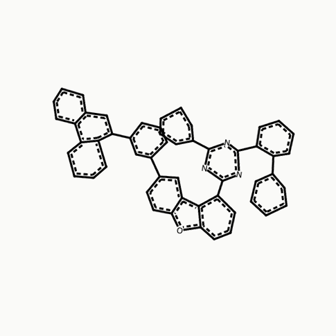 c1ccc(-c2nc(-c3ccccc3-c3ccccc3)nc(-c3cccc4oc5ccc(-c6cccc(-c7cc8ccccc8c8ccccc78)c6)cc5c34)n2)cc1